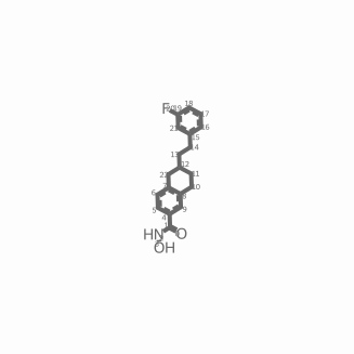 O=C(NO)c1ccc2c(c1)CCC(CCc1cccc(F)c1)C2